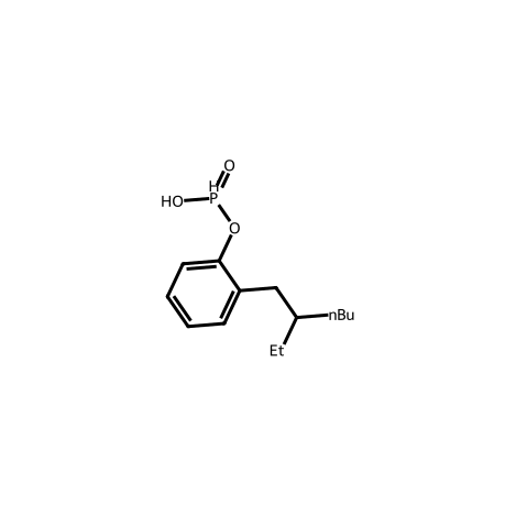 CCCCC(CC)Cc1ccccc1O[PH](=O)O